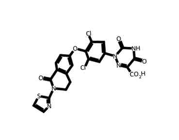 O=C(O)c1nn(-c2cc(Cl)c(Oc3ccc4c(c3)CCN(c3nccs3)C4=O)c(Cl)c2)c(=O)[nH]c1=O